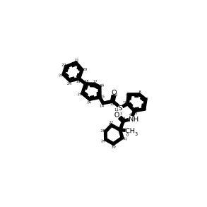 CC1(C(=O)Nc2ccccc2SC(=O)Cc2ccc(-c3ccccc3)cc2)CCCCC1